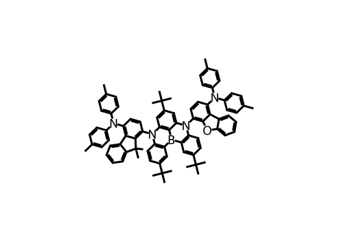 Cc1ccc(N(c2ccc(C)cc2)c2ccc(N3c4ccc(C(C)(C)C)cc4B4c5cc(C(C)(C)C)ccc5N(c5ccc(N(c6ccc(C)cc6)c6ccc(C)cc6)c6c5oc5ccccc56)c5cc(C(C)(C)C)cc3c54)c3c2-c2ccccc2C3(C)C)cc1